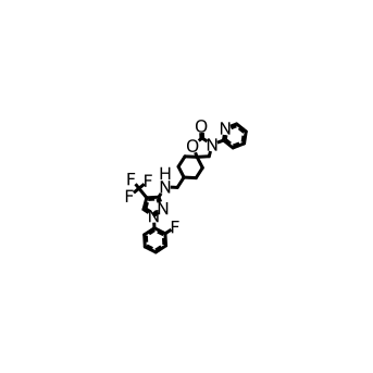 O=C1OC2(CCC(CNc3nn(-c4ccccc4F)cc3C(F)(F)F)CC2)CN1c1ccccn1